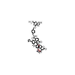 CS1(C)c2cc(N3CCC3)c#cc2C2(c3cc(C(=O)NCc4ccc(COc5nc(N)nc6[nH]cnc56)cc4)ccc3C(=O)N2C2C=Cc3c(C(F)(F)F)cc(=O)oc3C2)c2ccc(N3CCC3)cc21